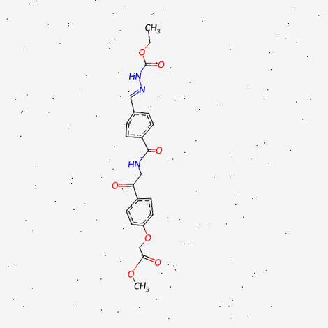 CCOC(=O)NN=Cc1ccc(C(=O)NCC(=O)c2ccc(OCC(=O)OC)cc2)cc1